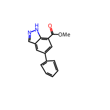 COC(=O)c1cc(-c2ccccc2)cc2cn[nH]c12